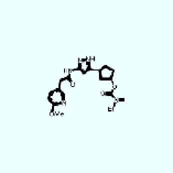 CCN(C)C(=O)O[C@@H]1CC[C@H](c2cc(NC(=O)Cc3ccc(OC)nc3)n[nH]2)C1